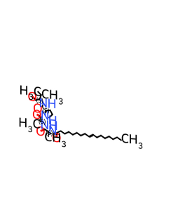 CCCCCCCCC=CCCCCCCCC(=O)N[C@@H](C)C(=O)N[C@@H](C)C(=O)N1CCC[C@H]1C(=O)N[C@H](C=O)C(C)C